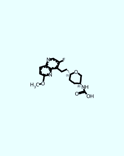 COc1ccc2ncc(F)c(CC[C@H]3CC[C@@H](NC(=O)O)CO3)c2n1